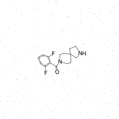 O=C(c1c(F)cccc1F)N1CCC2(CCNC2)CC1